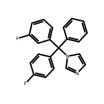 Fc1ccc(C(c2ccccc2)(c2cccc(F)c2)n2ccnc2)cc1